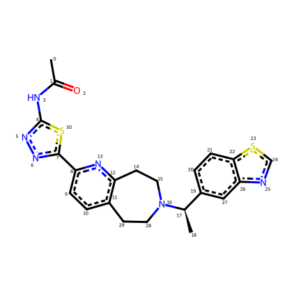 CC(=O)Nc1nnc(-c2ccc3c(n2)CCN([C@H](C)c2ccc4scnc4c2)CC3)s1